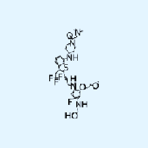 COCCOc1cc(NCCO)c(F)cc1NCC#Cc1sc2c(NC3CCN(C(=O)CN(C)C)CC3)cccc2c1CC(F)(F)F